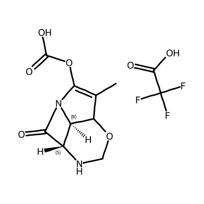 CC1=C(OC(=O)O)N2C(=O)[C@H]3NCOC1[C@@H]32.O=C(O)C(F)(F)F